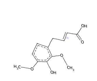 COc1ccc(C/C=C/C(=O)O)c(OC)c1O